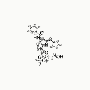 CC1(C)O[C@@H]2[C@H](O1)[C@@H](C=NO)O[C@H]2n1cnc2c(NC(=O)c3ccccc3)nc(OC3CCCC3)nc21